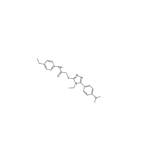 CCc1ccc(NC(=O)CSc2nnc(-c3ccc(N(C)C)cc3)n2CC)cc1